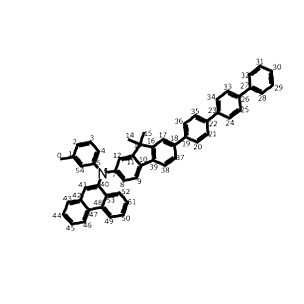 Cc1cccc(N(c2ccc3c(c2)C(C)(C)c2cc(-c4ccc(-c5ccc(-c6ccccc6)cc5)cc4)ccc2-3)c2cc3ccccc3c3ccccc23)c1